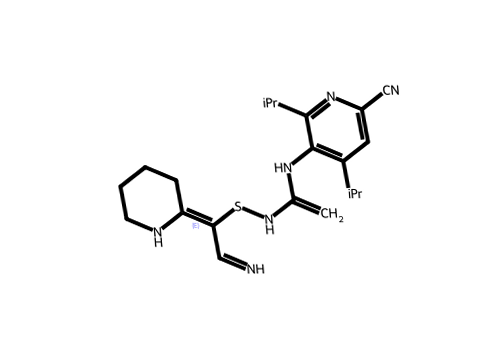 C=C(NS/C(C=N)=C1\CCCCN1)Nc1c(C(C)C)cc(C#N)nc1C(C)C